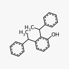 CC(c1ccccc1)c1cccc(O)c1C(C)c1ccccc1